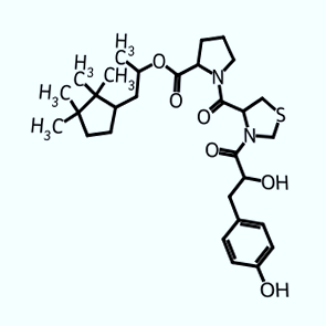 CC(CC1CCC(C)(C)C1(C)C)OC(=O)C1CCCN1C(=O)C1CSCN1C(=O)C(O)Cc1ccc(O)cc1